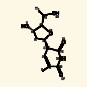 Cc1cn([C@H]2C[C@H](O)[C@@H](C(O)I)O2)c(=O)[nH]c1=O